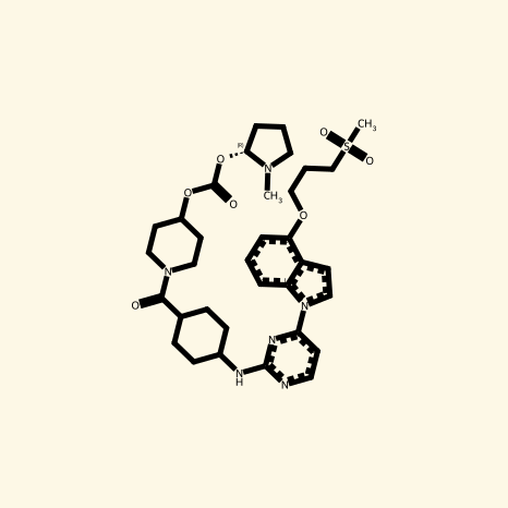 CN1CCC[C@H]1OC(=O)OC1CCN(C(=O)C2CCC(Nc3nccc(-n4ccc5c(OCCCS(C)(=O)=O)cccc54)n3)CC2)CC1